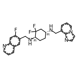 Fc1cc2ncccc2cc1CN[C@@H]1CC[C@@H](NCc2cccn3ccnc23)CC1(F)F